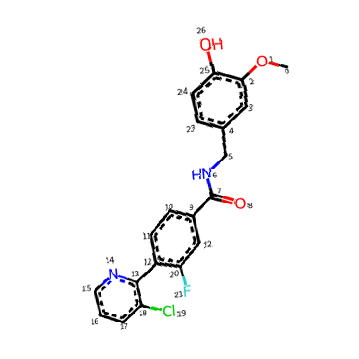 COc1cc(CNC(=O)c2ccc(-c3ncccc3Cl)c(F)c2)ccc1O